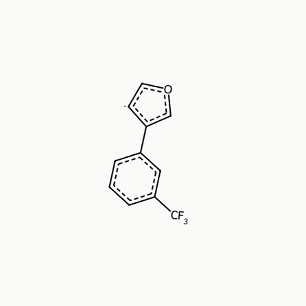 FC(F)(F)c1cccc(-c2[c]coc2)c1